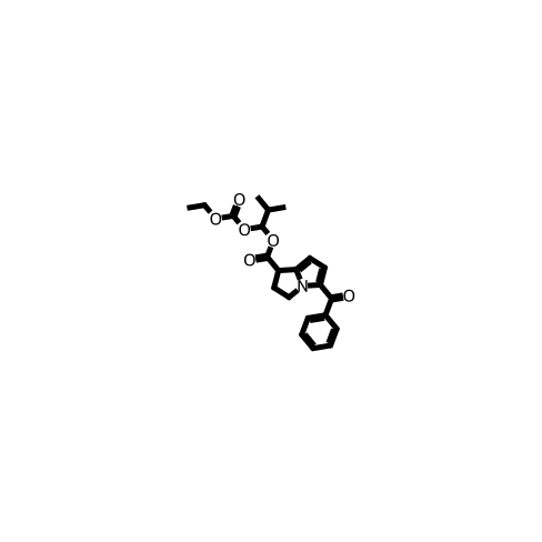 CCOC(=O)OC(OC(=O)C1CCn2c(C(=O)c3ccccc3)ccc21)C(C)C